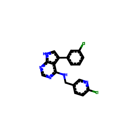 Clc1cccc(-c2c[nH]c3ncnc(NCc4ccc(Cl)nc4)c23)c1